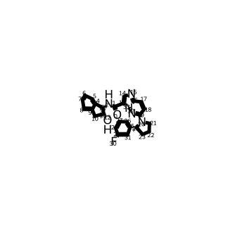 O=C(N[C@@H]1c2ccccc2C[C@H]1O)c1cnc2ccc(N3CCC[C@@H]3c3cccc(F)c3)nn12